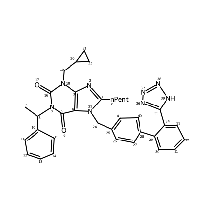 CCCCCc1nc2c(c(=O)n(C(C)c3ccccc3)c(=O)n2CC2CC2)n1Cc1ccc(-c2ccccc2-c2nnn[nH]2)cc1